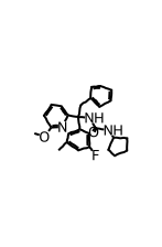 COc1cccc(C(Cc2ccccc2)(NC(=O)NC2CCCC2)c2cc(C)cc(F)c2)n1